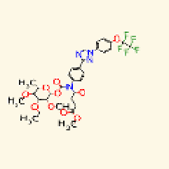 CCO[C@@H]1[C@@H](OC)[C@H](C)O[C@@H](OC(=O)N(C(=O)CCC(=O)OC)c2ccc(-c3ncn(-c4ccc(OC(F)(F)C(F)(F)F)cc4)n3)cc2)[C@@H]1OC